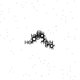 Cc1nc(NC(=O)C2CCCC2)sc1-c1ccc(Cl)c(S(=O)(=O)NC2CCC(CO)CC2)c1